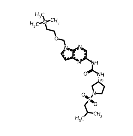 CC(C)CS(=O)(=O)N1CC[C@@H](NC(=O)Nc2cnc3c(ccn3COCC[Si](C)(C)C)n2)C1